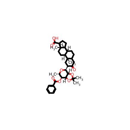 C[C@@H]1O[C@@H](C2C[C@@]3(C)C(CC[C@@H]4[C@@H]3CC[C@]3(C)C(C(=O)O)CC[C@@H]43)CC2=O)[C@@H]2OC(C)(C)O[C@@H]2[C@H]1OC(=O)c1ccccc1